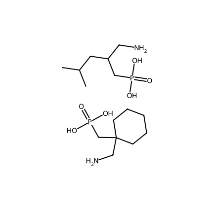 CC(C)CC(CN)CP(=O)(O)O.NCC1(CP(=O)(O)O)CCCCC1